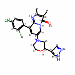 Cc1nc2c(-c3ccc(Cl)cc3F)cc(N3CCOC(c4cn[nH]c4)C3)cn2c(=O)c1C